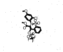 COC(=O)C1=C(OS(=O)(=O)C(F)(F)F)c2ccccc2S(=O)(=O)N1c1ccc(OC)cc1Cl